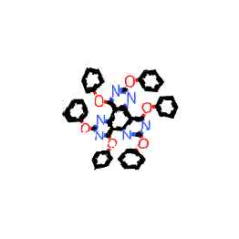 c1ccc(Oc2nc(Oc3ccccc3)c3c(n2)c2c(Oc4ccccc4)nc(Oc4ccccc4)nc2c2c(Oc4ccccc4)nc(Oc4ccccc4)nc32)cc1